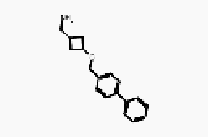 NC[C@H]1C[C@@H](OCc2ccc(-c3ccccc3)cc2)C1